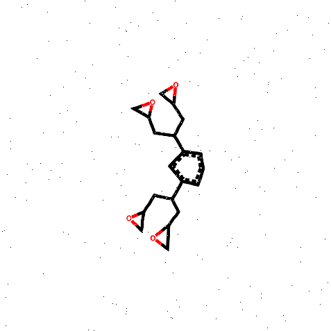 c1cc(C(CC2CO2)CC2CO2)cc(C(CC2CO2)CC2CO2)c1